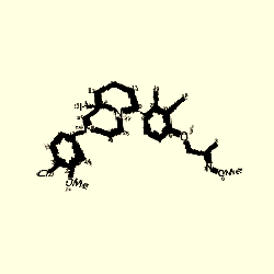 CO/N=C(\C)COc1ccc([C@H]2CCC[C@H]3CN(c4ccc(Cl)c(OC)c4)CCN32)c(C)c1C